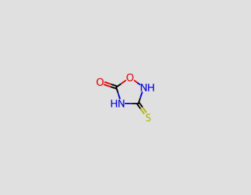 O=c1[nH]c(=S)[nH]o1